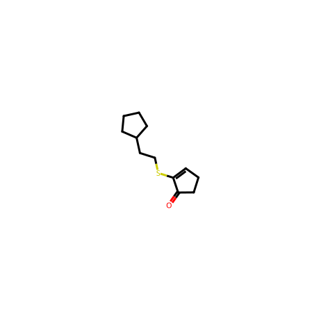 O=C1CCC=C1SCCC1CCCC1